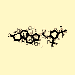 C[C@H]1C[C@H]2SC(=O)C=C[C@]2(C)[C@H]2CC[C@]3(C)C[C@@H](C(=O)Nc4ccc(C(F)(F)F)cc4C(F)(F)F)C[C@H]3[C@H]12